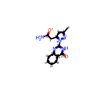 Cc1cc(CC(N)=O)n(-c2nc3ccccc3c(=O)[nH]2)n1